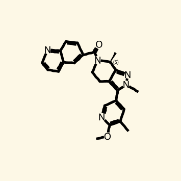 COc1ncc(-c2c3c(nn2C)[C@H](C)N(C(=O)c2ccc4ncccc4c2)CC3)cc1C